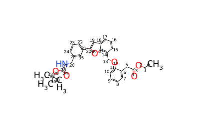 CCOC(=O)Cc1ccccc1OCc1cccc2cc(-c3cccc(CNC(=O)OC(C)(C)C)c3)oc12